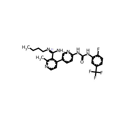 CCCC/N=C(/N)c1c(-c2ccc(NC(=O)Nc3cc(C(F)(F)F)ccc3F)nc2)ccnc1C